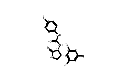 Cc1cc(F)c([C@@H]2CNC(=O)[C@H]2NC(=O)Nc2ccc(F)cc2)c(F)c1